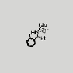 CCC(N[S+]([O-])C(C)(C)C)c1ccccc1C